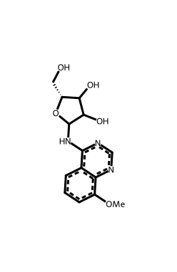 COc1cccc2c(NC3O[C@H](CO)C(O)C3O)ncnc12